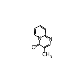 Cc1cnc2ccccn2c1=O